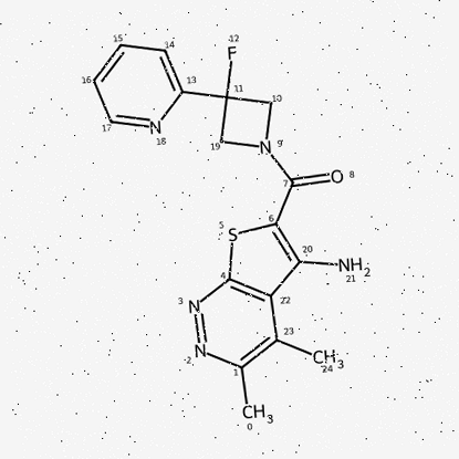 Cc1nnc2sc(C(=O)N3CC(F)(c4ccccn4)C3)c(N)c2c1C